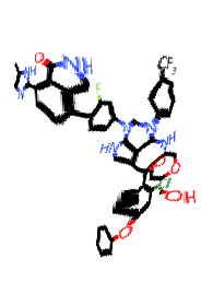 Cc1cnc(-c2ccc(-c3ccc(N4CN(c5cccc(C(F)(F)F)c5)C(N[C@@H]5CC[C@@H](CO)OC5)c5c(C(=O)c6ccc(Oc7ccccc7)cc6Cl)c[nH]c54)cc3F)c3c2C(=O)NC3)[nH]1